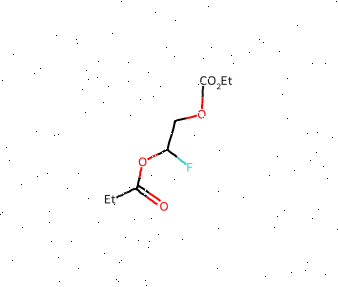 CCOC(=O)OCC(F)OC(=O)CC